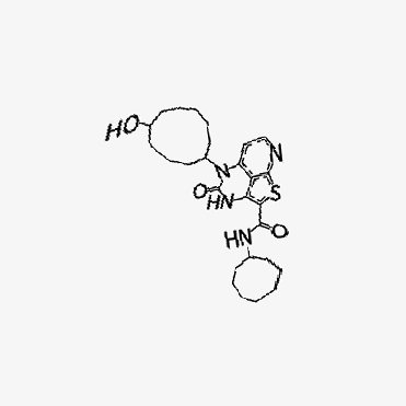 O=C(NC1CCCCCCC1)c1sc2nccc3c2c1NC(=O)N3C1CCCCCC(O)CCC1